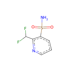 NS(=O)(=O)c1cccnc1C(F)F